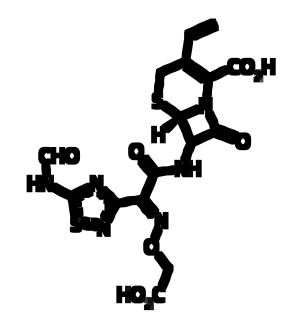 C=CC1=C(C(=O)O)N2C(=O)C(NC(=O)C(=NOCC(=O)O)c3nsc(NC=O)n3)[C@@H]2SC1